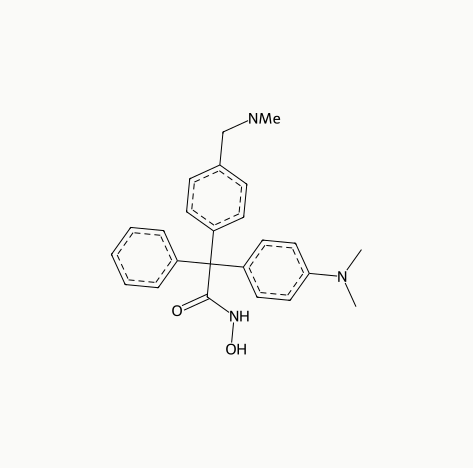 CNCc1ccc(C(C(=O)NO)(c2ccccc2)c2ccc(N(C)C)cc2)cc1